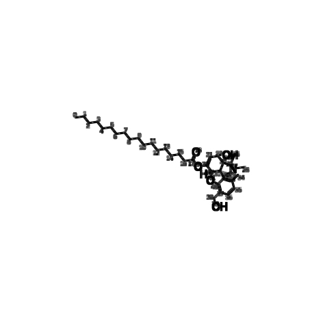 CCCCCCCCCCCCCCCCCC(=O)OC1=CC[C@@]2(O)[C@@H](C)N(C)CC[C@@]23c2c(C)ccc(CO)c2O[C@@H]13